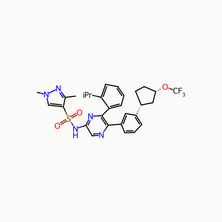 Cc1nn(C)cc1S(=O)(=O)Nc1cnc(-c2cccc([C@@H]3CC[C@H](OC(F)(F)F)C3)c2)c(-c2ccccc2C(C)C)n1